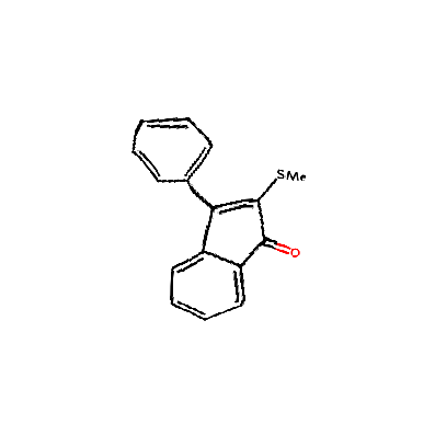 CSC1=C(c2ccccc2)c2ccccc2C1=O